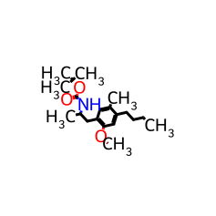 CCCCc1cc(OC)c(CC(C)NC(=O)OC(C)(C)C)cc1C